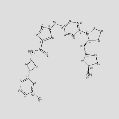 O=C(N[C@H]1C[C@@H](c2cccc(Cl)c2)C1)c1cnn(Cc2cnc(N3CCC[C@H]3CN3CC[C@@H](O)C3)nc2)c1